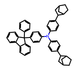 c1ccc(C2(c3ccc(N(c4ccc(C5CC6CCC5C6)cc4)c4ccc(C5CC6CCC5C6)cc4)cc3)c3ccccc3-c3ccccc32)cc1